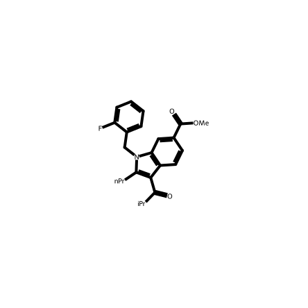 CCCc1c(C(=O)C(C)C)c2ccc(C(=O)OC)cc2n1Cc1ccccc1F